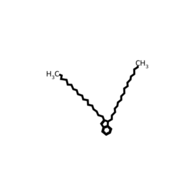 CCCCCCCCCCCCCCCCCCC1=Cc2ccccc2C1CCCCCCCCCCCCCCCCCC